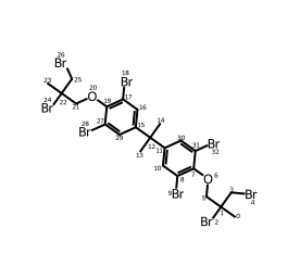 CC(Br)(CBr)COc1c(Br)cc(C(C)(C)c2cc(Br)c(OCC(C)(Br)CBr)c(Br)c2)cc1Br